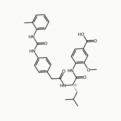 COc1cc(C(=O)O)ccc1NC(=O)[C@H](CC(C)C)NC(=O)Cc1ccc(NC(=O)Nc2ccccc2C)cc1